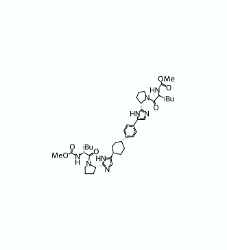 CC[C@H](C)[C@H](NC(=O)OC)C(=O)N1CCC[C@H]1c1ncc(-c2ccc([C@H]3CC[C@H](c4cnc([C@@H]5CCCN5C(=O)[C@@H](NC(=O)OC)[C@@H](C)CC)[nH]4)CC3)cc2)[nH]1